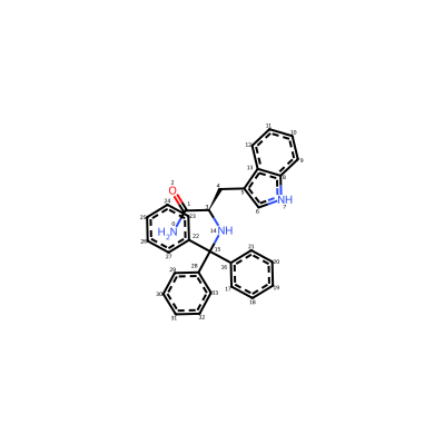 NC(=O)[C@@H](Cc1c[nH]c2ccccc12)NC(c1ccccc1)(c1ccccc1)c1ccccc1